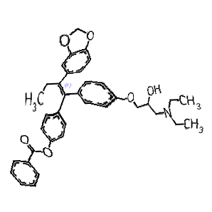 CC/C(=C(/c1ccc(OCC(O)CN(CC)CC)cc1)c1ccc(OC(=O)c2ccccc2)cc1)c1ccc2c(c1)OCO2